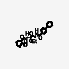 CCO[C@H](CNC(=O)c1ccccc1Cl)[C@@H](O)CNC(=O)c1ccc(-c2ccccc2)cc1